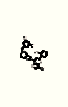 Clc1cc(Cl)cc(CN2CCCC(CNc3cc(-c4ccccc4Cl)nc4c(Br)cnn34)C2)c1